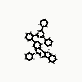 c1ccc(-c2nc(-c3ccccc3)nc(-c3ccccc3-c3ccc4c(c3)n(-c3ccccc3)c3nc5c6ccccc6oc5n43)n2)cc1